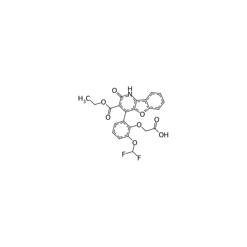 CCOC(=O)c1c(-c2cccc(OC(F)F)c2OCC(=O)O)c2oc3ccccc3c2[nH]c1=O